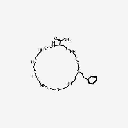 NC(=O)C1CCNCCCCN(CCc2ccccc2)CCNCCNCCNCCNCCNCCNCCN1